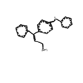 NCC=C(c1ccccc1)c1ccc(Sc2ccccc2)cc1